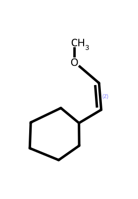 CO/C=C\C1CCCCC1